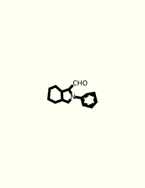 O=CC1C2CCCCC2CN1c1ccccc1